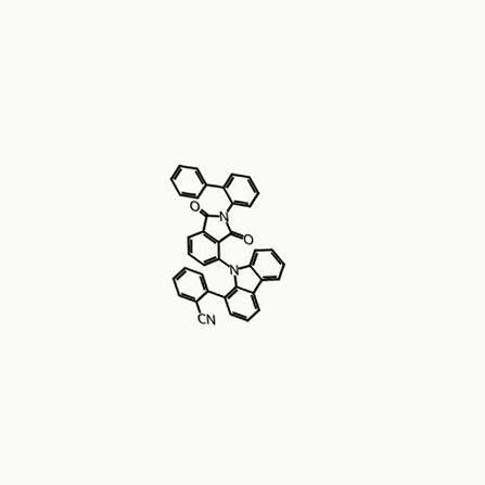 N#Cc1ccccc1-c1cccc2c3ccccc3n(-c3cccc4c3C(=O)N(c3ccccc3-c3ccccc3)C4=O)c12